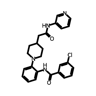 O=C(CC1CCN(c2ccccc2NC(=O)c2cccc(Cl)c2)CC1)Nc1cccnc1